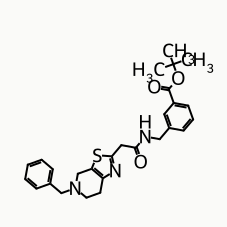 CC(C)(C)OC(=O)c1cccc(CNC(=O)Cc2nc3c(s2)CN(Cc2ccccc2)CC3)c1